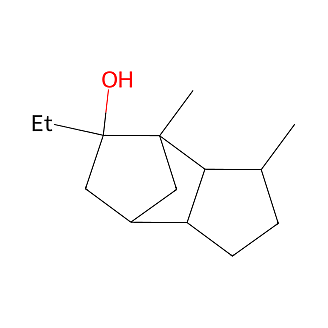 CCC1(O)CC2CC1(C)C1C(C)CCC21